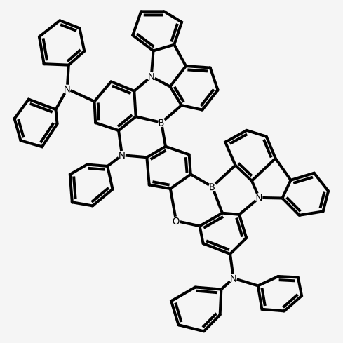 c1ccc(N(c2ccccc2)c2cc3c4c(c2)-n2c5ccccc5c5cccc(c52)B4c2cc4c(cc2O3)N(c2ccccc2)c2cc(N(c3ccccc3)c3ccccc3)cc3c2B4c2cccc4c5ccccc5n-3c24)cc1